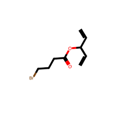 C=CC(C=C)OC(=O)CCCBr